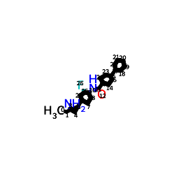 CCC1(N)CC1c1ccc(NC(=O)c2ccc(-c3ccccc3)cc2)c(F)c1